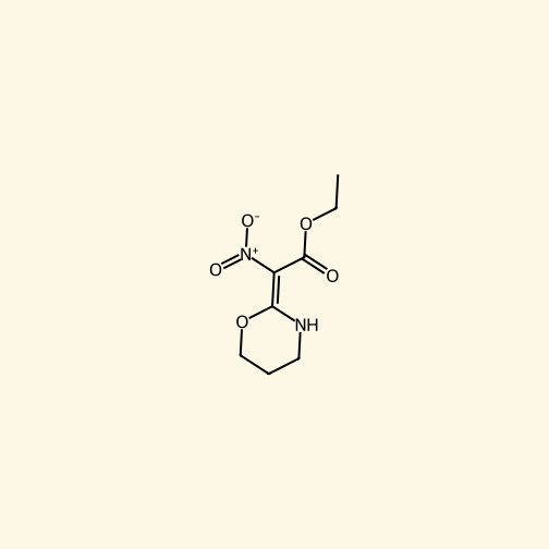 CCOC(=O)/C(=C1\NCCCO1)[N+](=O)[O-]